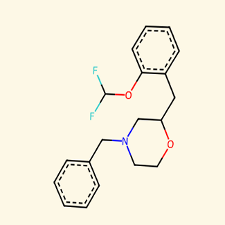 FC(F)Oc1ccccc1CC1CN(Cc2ccccc2)CCO1